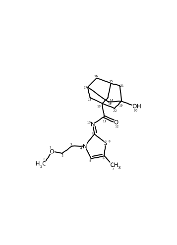 COCCn1cc(C)sc1=NC(=O)C12CC3CC(CC(O)(C3)C1)C2